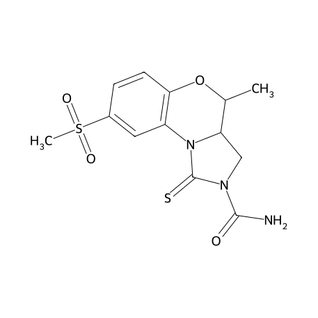 CC1Oc2ccc(S(C)(=O)=O)cc2N2C(=S)N(C(N)=O)CC12